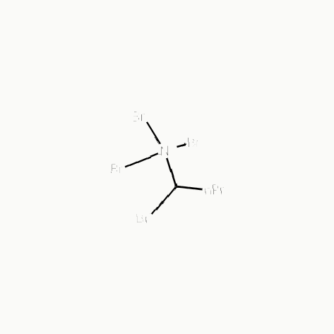 CCCC(Br)[N+](Br)(Br)Br